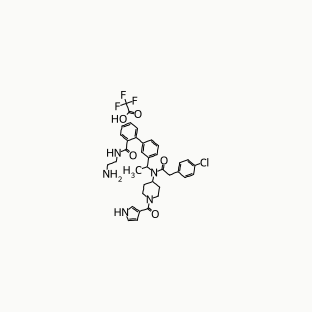 CC(c1cccc(-c2ccccc2C(=O)NCCN)c1)N(C(=O)Cc1ccc(Cl)cc1)C1CCN(C(=O)c2cc[nH]c2)CC1.O=C(O)C(F)(F)F